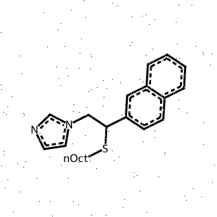 CCCCCCCCSC(Cn1ccnc1)c1ccc2ccccc2c1